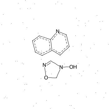 ON1C=NOC1.c1ccc2ncccc2c1